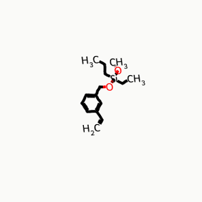 C=Cc1cccc(CO[Si](CC)(CCC)OC)c1